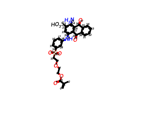 C=C(C)C(=O)OCCOCCS(=O)(=O)c1cccc(Nc2cc(S(=O)(=O)O)c(N)c3c2C(=O)c2ccccc2C3=O)c1